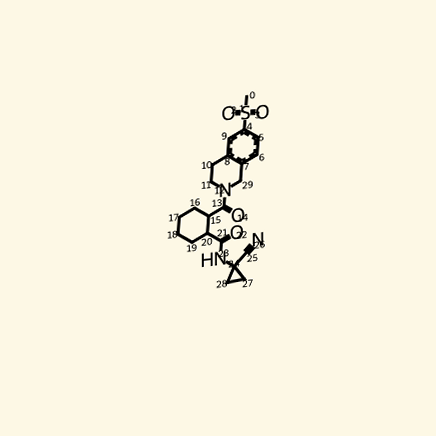 CS(=O)(=O)c1ccc2c(c1)CCN(C(=O)C1CCCCC1C(=O)NC1(C#N)CC1)C2